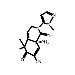 Cn1nccc1N1CC=C2C(C)(C)C(=O)C(C#N)=C[C@@]2(P)C1=N